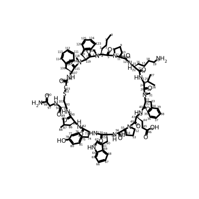 CCCC[C@H]1C(=O)N2CCC[C@@H]2C(=O)N[C@@H](CCCCN)C(=O)N[C@@H](C(C)C)C(=O)N(C)[C@@H](Cc2ccccc2)C(=O)N[C@@H](CCC(=O)O)C(=O)N2CCC[C@@H]2C(=O)N[C@@H](Cc2c[nH]c3ccccc23)C(=O)N[C@@H](Cc2ccc(O)cc2)C(=O)N[C@@H](CC(C)C)C(=O)N[C@H](C(=O)NCC(N)=O)CSCC(=O)N[C@@H](Cc2ccccc2)C(=O)N(C)[C@@H](Cc2ccccc2)C(=O)N1C